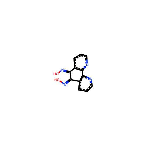 ON=C1C(=NO)c2cccnc2-c2ncccc21